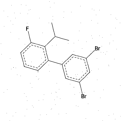 CC(C)c1c(-c2cc(Br)cc(Br)c2)[c]ccc1F